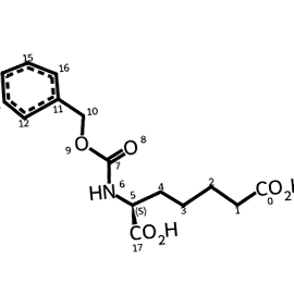 O=C(O)CCCC[C@H](NC(=O)OCc1ccccc1)C(=O)O